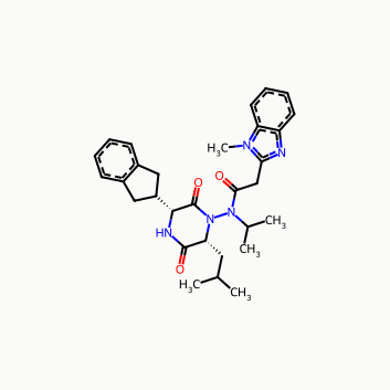 CC(C)C[C@@H]1C(=O)N[C@H](C2Cc3ccccc3C2)C(=O)N1N(C(=O)Cc1nc2ccccc2n1C)C(C)C